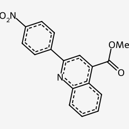 COC(=O)c1cc(-c2ccc([N+](=O)[O-])cc2)nc2ccccc12